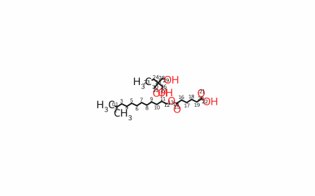 CC(C)CCCCCCCCCCOC(=O)CCCCC(=O)O.CCC(CO)(CO)CO